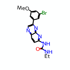 CCNC(=O)Nc1ccc2ncc(-c3cc(Br)cc(OC)c3)nc2n1